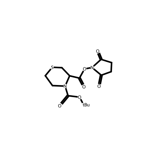 CC(C)(C)OC(=O)N1CCSCC1C(=O)ON1C(=O)CCC1=O